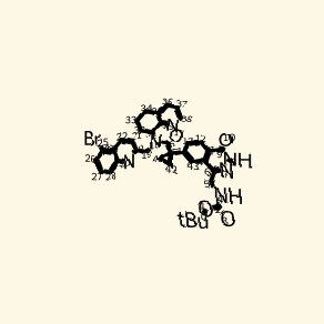 CC(C)(C)OC(=O)NCc1n[nH]c(=O)c2ccc(C3(C(=O)N(Cc4ccc5c(Br)cccc5n4)C4CCCc5cccnc54)CC3)cc12